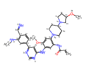 C=CC(=O)Nc1cc(Nc2cc(-c3ccc(C=N)c(NC)c3)ncn2)c(OC)cc1N1CCC(N2CCC(OC)C2)CC1